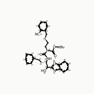 CC(C)(C)OC(=O)N(CCSCc1ccccc1C#N)C(=O)N[C@@H](CCc1ccccc1)C(O)c1nc2ccccc2o1